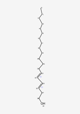 CCCCCCCCCCCCC/C=C/C=C/CCO